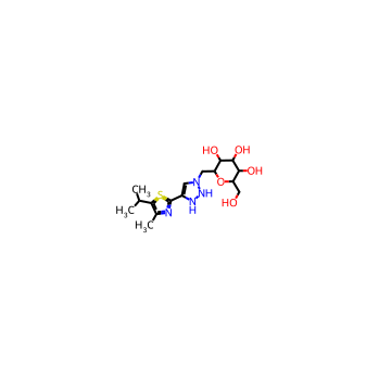 Cc1nc(C2=CN(CC3OC(CO)C(O)C(O)C3O)NN2)sc1C(C)C